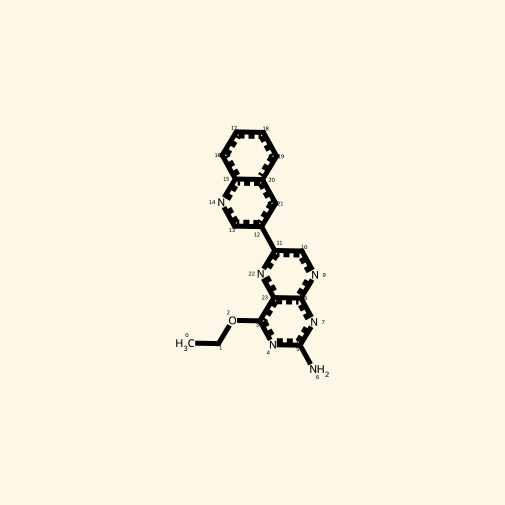 CCOc1nc(N)nc2ncc(-c3cnc4ccccc4c3)nc12